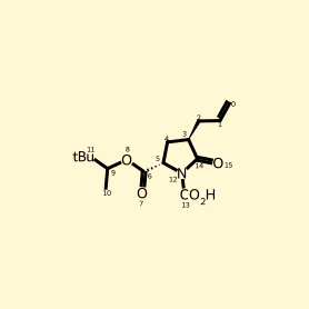 C=CC[C@@H]1C[C@@H](C(=O)OC(C)C(C)(C)C)N(C(=O)O)C1=O